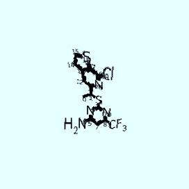 CC(Sc1nc(N)cc(C(F)(F)F)n1)c1cc2ccsc2c(Cl)n1